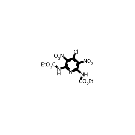 CCOC(=O)Nc1nc(NC(=O)OCC)c([N+](=O)[O-])c(Cl)c1[N+](=O)[O-]